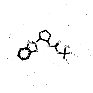 CC(C)(C)OC(=O)NC1CCCC1N1Oc2ccccc2O1